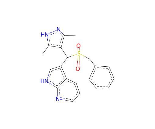 Cc1n[nH]c(C)c1C(c1c[nH]c2ncccc12)S(=O)(=O)Cc1ccccc1